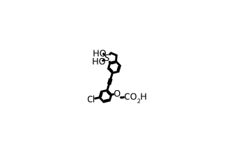 O=C(O)COc1ccc(Cl)cc1C#Cc1ccc2c(c1)S(O)(O)CC2